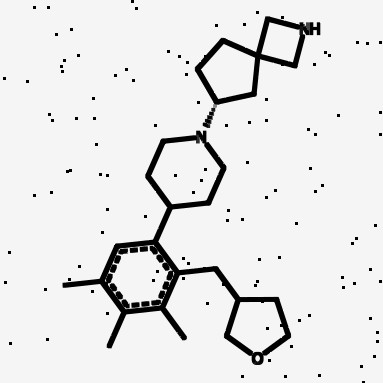 Cc1cc(C2CCN([C@@H]3CCC4(CNC4)C3)CC2)c(CC2CCOC2)c(C)c1C